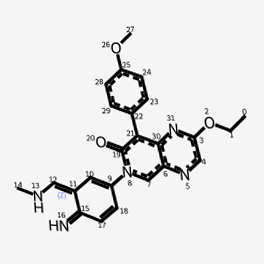 CCOc1cnc2cn(C3=C/C(=C/NC)C(=N)C=C3)c(=O)c(-c3ccc(OC)cc3)c2n1